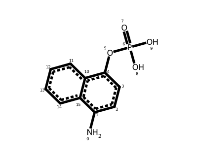 Nc1ccc(OP(=O)(O)O)c2ccccc12